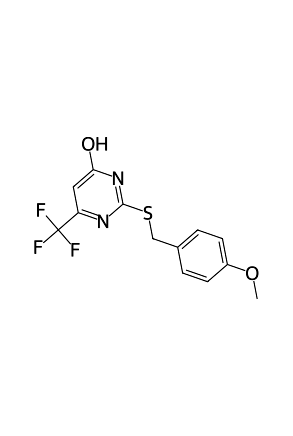 COc1ccc(CSc2nc(O)cc(C(F)(F)F)n2)cc1